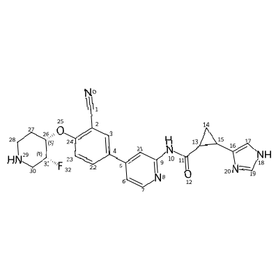 N#Cc1cc(-c2ccnc(NC(=O)C3CC3c3c[nH]cn3)c2)ccc1O[C@H]1CCNC[C@H]1F